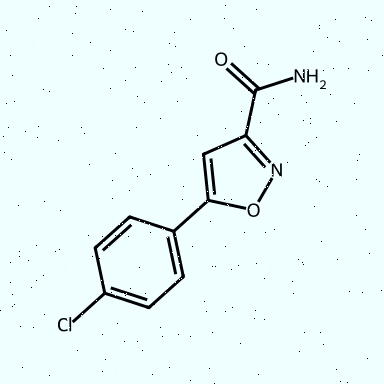 NC(=O)c1cc(-c2ccc(Cl)cc2)on1